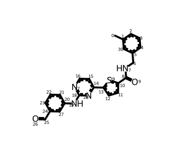 Cc1cccc(CNC(=O)c2ccc(-c3ccnc(Nc4cccc(C=O)c4)n3)s2)c1